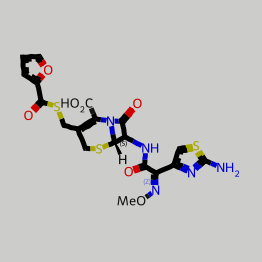 CO/N=C(\C(=O)NC1C(=O)N2C(C(=O)O)=C(CSC(=O)c3ccco3)CS[C@@H]12)c1csc(N)n1